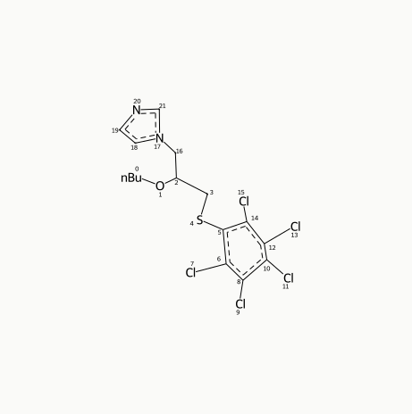 CCCCOC(CSc1c(Cl)c(Cl)c(Cl)c(Cl)c1Cl)Cn1ccnc1